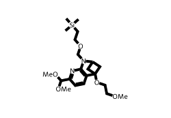 COCCOC12CC(C1)N(COCC[Si](C)(C)C)c1nc(C(OC)OC)ccc12